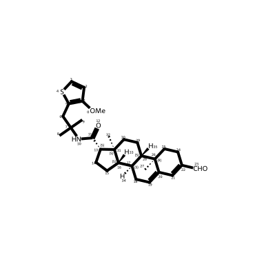 COc1ccsc1CC(C)(C)NC(=O)[C@H]1CC[C@H]2[C@@H]3CC=C4C=C(C=O)CC[C@]4(C)[C@H]3CC[C@]12C